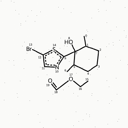 CC1CCCC(C)C1(O)c1ncc(Br)s1.CCOC=O